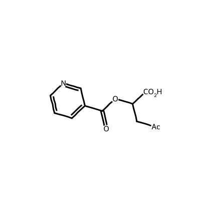 CC(=O)CC(OC(=O)c1cccnc1)C(=O)O